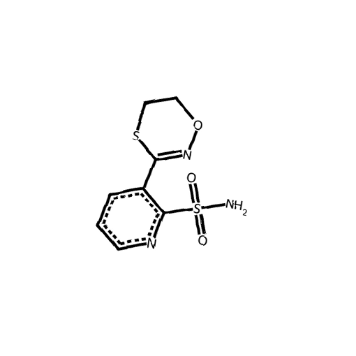 NS(=O)(=O)c1ncccc1C1=NOCCS1